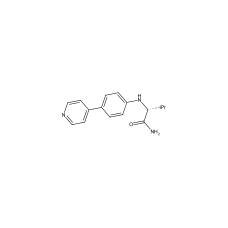 CC(C)[C@@H](Nc1ccc(-c2ccncc2)cc1)C(N)=O